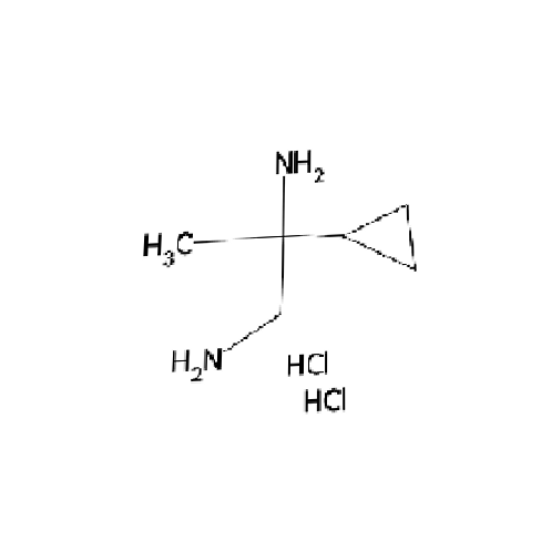 CC(N)(CN)C1CC1.Cl.Cl